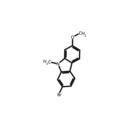 COc1ccc2c3ccc(Br)cc3n(C)c2c1